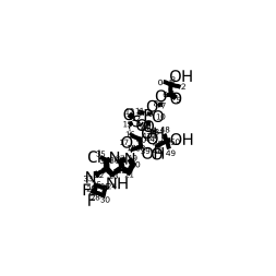 CC(C)(O)C(=O)OCOP(=O)(CS(=O)(=O)C[C@H]1O[C@@H](n2ccc3c(NC4CC(F)(F)C4)c(C#N)c(Cl)nc32)[C@H](O)[C@@H]1O)OCOC(=O)C(C)(C)O